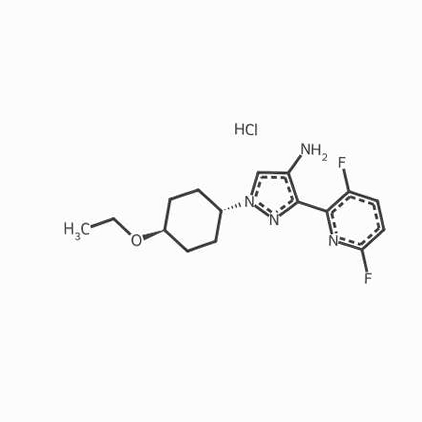 CCO[C@H]1CC[C@H](n2cc(N)c(-c3nc(F)ccc3F)n2)CC1.Cl